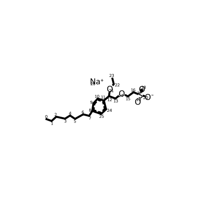 CCCCCCCCc1ccc(C(COCCS(=O)(=O)[O-])OCC)cc1.[Na+]